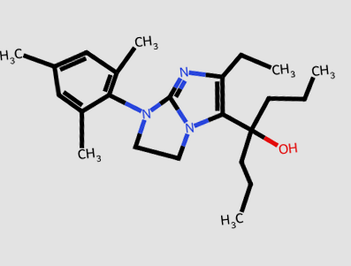 CCCC(O)(CCC)c1c(CC)nc2n1CCN2c1c(C)cc(C)cc1C